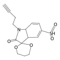 C#CCCN1C(=O)C2(OCCCO2)C2C=C([SH](=O)=O)C=CC21